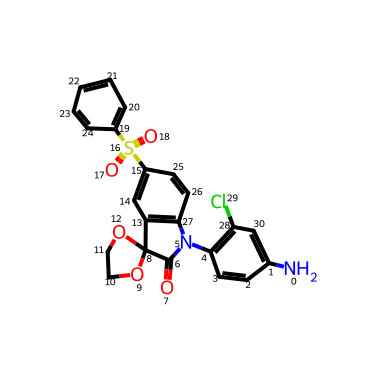 Nc1ccc(N2C(=O)C3(OCCO3)c3cc(S(=O)(=O)c4ccccc4)ccc32)c(Cl)c1